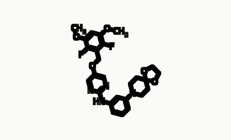 COc1cc(OC)c(F)c(COc2cnc(Nc3cccc(N4CCC5(CC4)OCCO5)c3)nc2)c1F